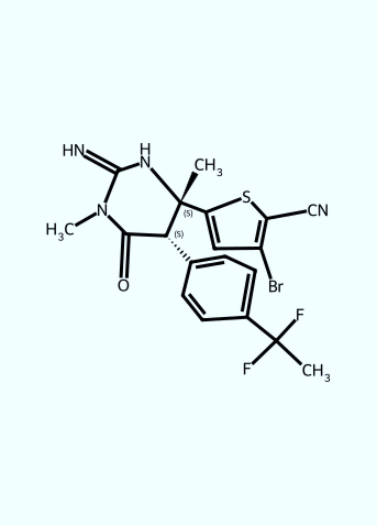 CN1C(=N)N[C@](C)(c2cc(Br)c(C#N)s2)[C@H](c2ccc(C(C)(F)F)cc2)C1=O